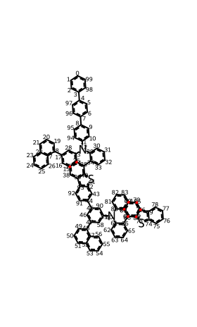 c1ccc(-c2ccc(-c3ccc(N(c4cccc(-c5cccc6ccccc56)c4)c4ccccc4-c4cccc5c4sc4cc(-c6cc(-c7cccc8ccccc78)cc(N(c7ccccc7-c7cccc8c7sc7ccccc78)c7cccc8ccccc78)c6)ccc45)cc3)cc2)cc1